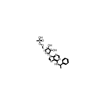 CC(Nc1ncnc2c1ncn2[C@@H]1O[C@H](COOP(C)(=O)O)[C@@H](O)[C@H]1O)c1ccccc1